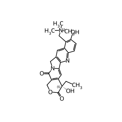 CC[C@@]1(O)C(=O)OCc2c1cc1n(c2=O)Cc2cc3c(C[N+](C)(C)C)c(O)ccc3nc2-1